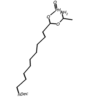 CCCCCCCCCCCCCCCCCCCC(O[PH2]=O)OC(C)N